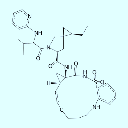 CC[C@@H]1C[C@]12C[C@@H](C(=O)N[C@]13C[C@H]1/C=C\CCCCNc1ccccc1S(=O)(=O)NC3=O)N(C(=O)C(Nc1ccccn1)C(C)C)C2